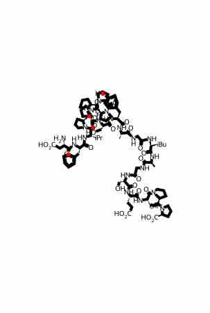 CC[C@H](C)[C@H](NC(=O)CNC(=O)[C@H](C)NC(=O)[C@H](Cc1ccc(O)cc1)NC(=O)[C@H](CO)NC(=O)[C@@H]1CCCN1C(=O)[C@@H]1CCCN1C(=O)[C@@H]1CCCN1C(=O)[C@@H]1CCCN1C(=O)[C@@H]1CCCN1C(=O)[C@@H](NC(=O)[C@H](Cc1ccccc1)NC(=O)[C@@H](N)CC(=O)O)C(C)C)C(=O)N[C@@H](C)C(=O)NCC(=O)N[C@@H](CO)C(=O)N[C@@H](CCC(=O)O)C(=O)N[C@@H](CC(C)C)C(=O)N1CCC[C@H]1C(=O)N1CCC[C@H]1C(=O)O